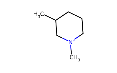 CC1CCC[N+](C)C1